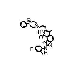 Cc1cc(F)ccc1Nc1nc2ccc3c(C)c(/C=C\CN4CCP(=O)(c5ccccc5)CC4)[nH]c(=O)c3c2n1C